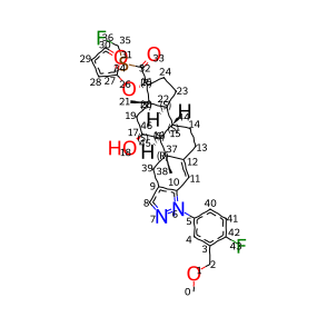 COCc1cc(-n2ncc3c2C=C2CC[C@@H]4[C@H]([C@@H](O)C[C@@]5(C)[C@H]4CC[C@]5(Oc4ccco4)C(=O)SCF)[C@@]2(C)C3)ccc1F